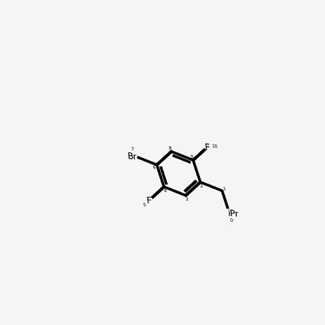 CC(C)Cc1cc(F)c(Br)cc1F